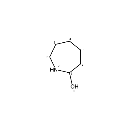 OC1CCCCCN1